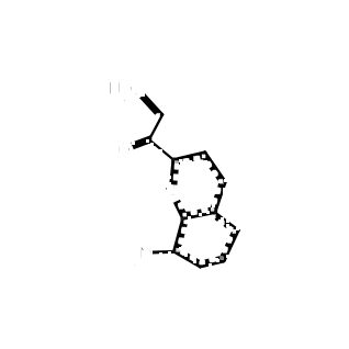 C=CC(=O)c1ccc2cccc(N)c2n1